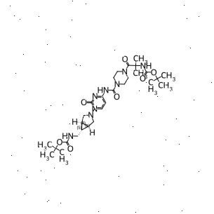 CC(C)(C)OC(=O)NC[C@@H]1[C@H]2CN(n3ccc(NC(=O)N4CCN(C(=O)C(C)(C)NC(=O)OC(C)(C)C)CC4)nc3=O)C[C@@H]12